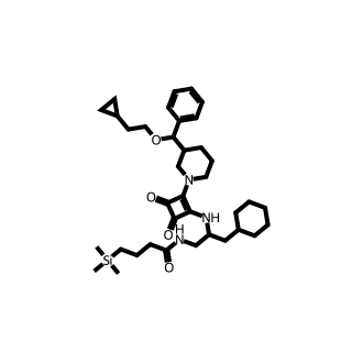 C[Si](C)(C)CCCC(=O)NCC(CC1CCCCC1)Nc1c(N2CCCC(C(OCCC3CC3)c3ccccc3)C2)c(=O)c1=O